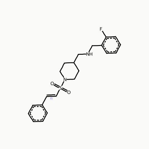 O=S(=O)(/C=C/c1ccccc1)N1CCC(CNCc2ccccc2F)CC1